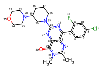 Cc1nc2c(-c3ccc(Cl)cc3F)nc(N3CCCC(N4CCOCC4)C3)nc2c(=O)n1C